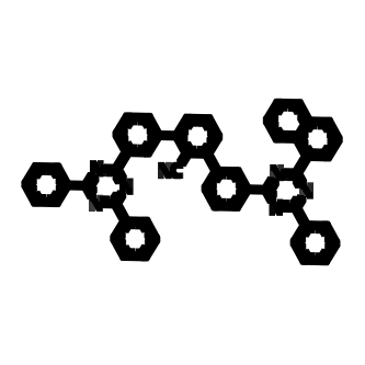 N#Cc1c(-c2cccc(-c3nc(-c4ccccc4)nc(-c4ccccc4)n3)c2)cccc1-c1cccc(-c2nc(-c3ccccc3)nc(-c3cccc4ccccc34)n2)c1